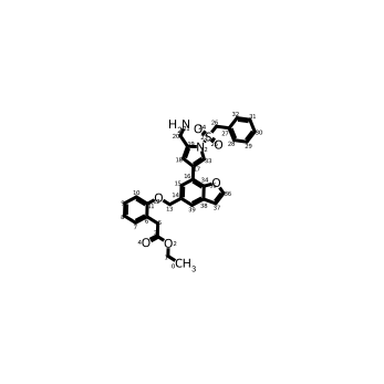 CCOC(=O)Cc1ccccc1OCc1cc(-c2cc(CN)n(S(=O)(=O)Cc3ccccc3)c2)c2occc2c1